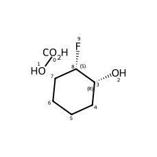 O=C(O)O.O[C@@H]1CCCC[C@@H]1F